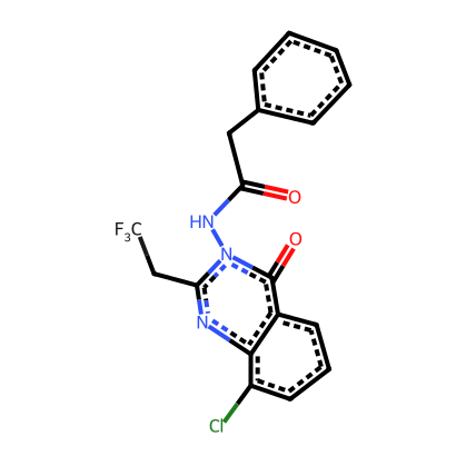 O=C(Cc1ccccc1)Nn1c(CC(F)(F)F)nc2c(Cl)cccc2c1=O